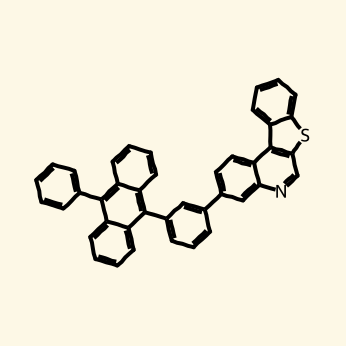 c1ccc(-c2c3ccccc3c(-c3cccc(-c4ccc5c(c4)ncc4sc6ccccc6c45)c3)c3ccccc23)cc1